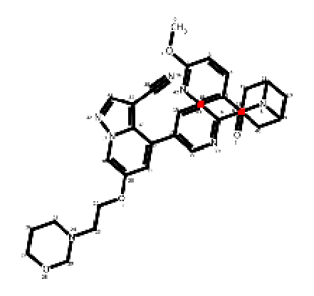 COc1ccc(C(=O)N2C3CC2CN(c2ccc(-c4cc(OCCN5CCCOC5)cn5ncc(C#N)c45)cn2)C3)cn1